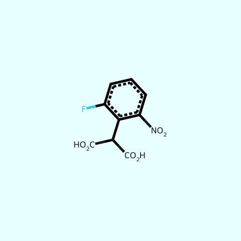 O=C(O)C(C(=O)O)c1c(F)cccc1[N+](=O)[O-]